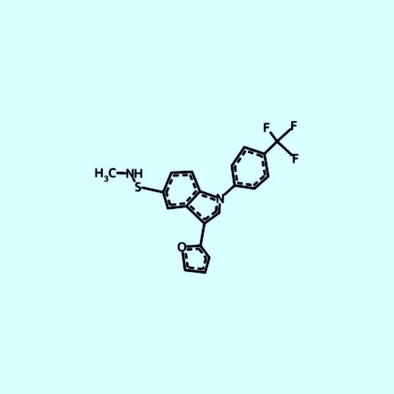 CNSc1ccc2c(c1)c(-c1ccco1)cn2-c1ccc(C(F)(F)F)cc1